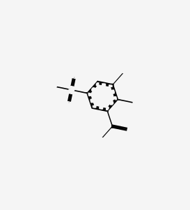 C=C(C)c1cc(S(C)(=O)=O)cc(C)c1C